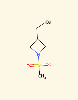 CCC(C)CC1CN(S(C)(=O)=O)C1